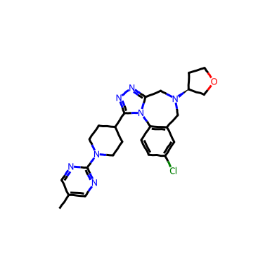 Cc1cnc(N2CCC(c3nnc4n3-c3ccc(Cl)cc3CN([C@H]3CCOC3)C4)CC2)nc1